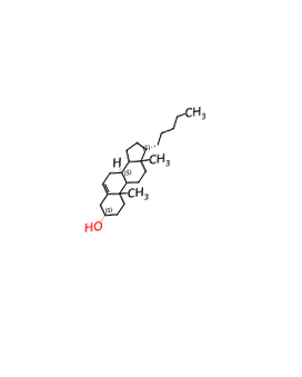 CCCCC[C@H]1CCC2[C@@H]3CC=C4C[C@@H](O)CCC4(C)C3CCC21C